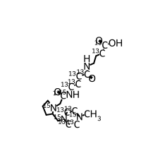 C[15N]1[13CH2][13CH2][15N](CC2CCC[15N]2C[13C](=O)[15NH][13CH2][13CH2][13CH2][13C](=O)NCC[13CH2][13C](=O)O)[13CH2][13CH2]1